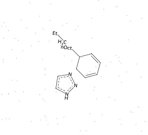 CCC.CCCCCCCCC1C=CC=CC1.c1c[nH]nn1